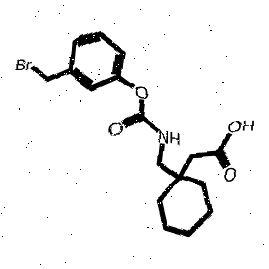 O=C(O)CC1(CNC(=O)Oc2cccc(CBr)c2)CCCCC1